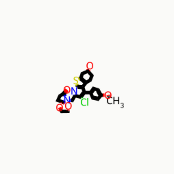 COc1ccc(-c2c(Cl)c(CN3C(=O)CCC34OCCO4)nc3sc4c(c23)CCC(=O)C4)cc1